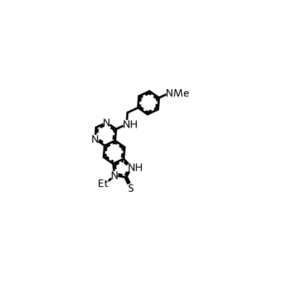 CCn1c(=S)[nH]c2cc3c(NCc4ccc(NC)cc4)ncnc3cc21